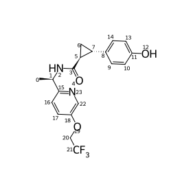 C[C@@H](NC(=O)[C@H]1C[C@@H]1c1ccc(O)cc1)c1ccc(OCC(F)(F)F)cn1